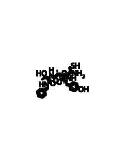 C[C@H](NC(=O)[C@H](Cc1ccc(O)cc1)NC(=O)[C@@H](N)CS)C(=O)N[C@H](C(=O)NCc1ccccc1)[C@@H](C)O